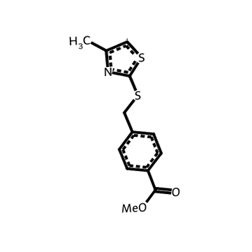 COC(=O)c1ccc(CSc2nc(C)[c]s2)cc1